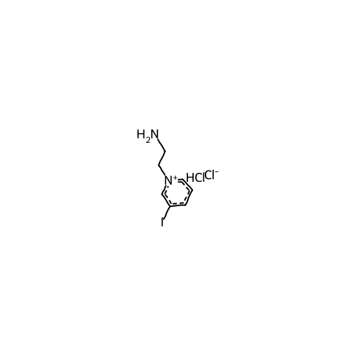 Cl.NCC[n+]1cccc(I)c1.[Cl-]